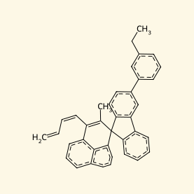 C=C/C=C\C1=C(C)C2(c3ccccc3-c3cc(-c4cccc(CC)c4)ccc32)c2cccc3cccc1c23